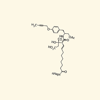 CC#CCOc1ccc(C[C@@H](COC(C)=O)NC(=O)[C@@H](C=CCCCCCCC(=O)CCCCCCC)[C@@](O)(CC(=O)O)C(=O)O)cc1